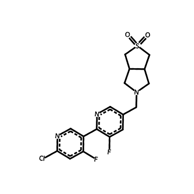 O=S1(=O)CC2CN(Cc3cnc(-c4cnc(Cl)cc4F)c(F)c3)CC2C1